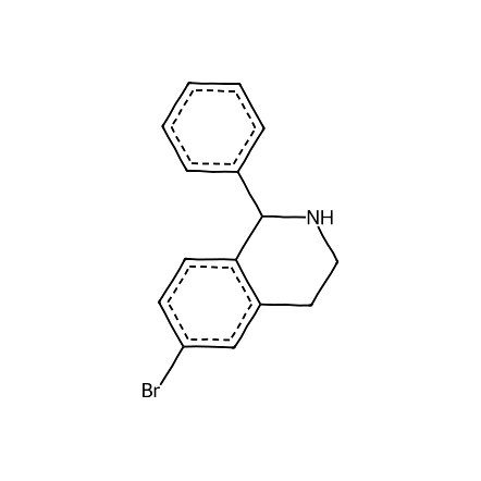 Brc1ccc2c(c1)CCNC2c1ccccc1